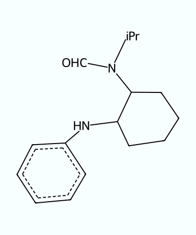 CC(C)N(C=O)C1CCCCC1Nc1ccccc1